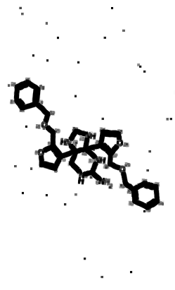 NC1NCC2(c3ccoc3COCc3ccccc3)NCNC2(c2ccoc2COCc2ccccc2)N1